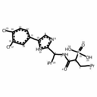 CC(C)CC(C(=O)NC(c1ncc(-c2ccc(Cl)c(Cl)c2)[nH]1)C(C)C)P(=O)(O)O